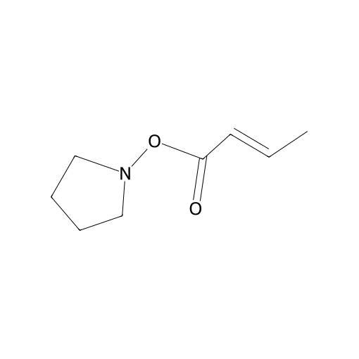 C/C=C/C(=O)ON1CCCC1